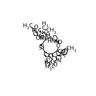 C=CC(=O)N1CCC(O)(C(=O)N(C)[C@H](C(=O)N[C@H]2Cc3csc(n3)-c3ccc4c(c3)c(c(-c3cc(N5CCN(C)CC5)cnc3[C@H](C)OC)n4CC(F)(F)F)CC(C)(C)COC(=O)[C@@H]3CCCN(N3)C2=O)C(C)C)C1